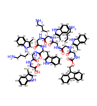 NCCCC[C@H](NC(=O)[C@H](Cc1c[nH]c2ccccc12)NC(=O)[C@H](Cc1c[nH]c2ccccc12)NC(=O)[C@H](CCCCN)NC(=O)[C@H](Cc1c[nH]c2ccccc12)NC(=O)[C@H](CCCCN)NC(=O)[C@H](Cc1c[nH]c2ccccc12)NC(=O)OCC1c2ccccc2-c2ccccc21)C(=O)N[C@@H](Cc1c[nH]c2ccccc12)C(=O)O